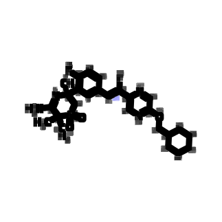 CC1(C)C(N)=N[C@](C)(c2cc(/C=C(\F)c3cnc(OCC4CCCCC4)cn3)ccc2F)CS1(=O)=O